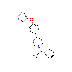 c1ccc(Oc2ccc(C3CCN(C(c4ccccc4)C4CC4)CC3)cc2)cc1